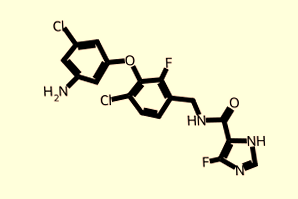 Nc1cc(Cl)cc(Oc2c(Cl)ccc(CNC(=O)c3[nH]cnc3F)c2F)c1